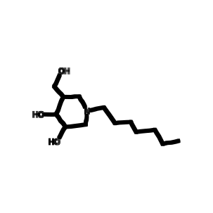 CCCCCCCN1CC(O)C(O)C(CO)C1